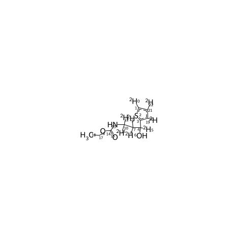 [2H]c1sc(C([2H])(O)C([2H])([2H])C([2H])([2H])NC(=O)OCC)c([2H])c1[2H]